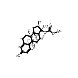 CCCOC(=O)O[C@]1(C(=O)O)[C@H](C)C[C@H]2[C@@H]3CCC4=CC(=O)C=C[C@]4(C)[C@H]3CC[C@@]21C